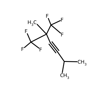 CC(C)C#CC(C)(C(F)(F)F)C(F)(F)F